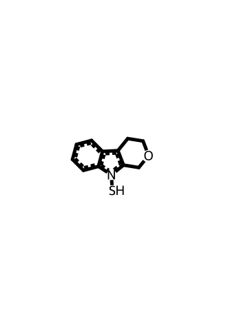 Sn1c2c(c3ccccc31)CCOC2